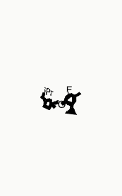 Cc1cc(C2CC2)c(OCC2(C)CCC(CC(C)C)C2)cc1F